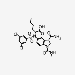 CCCCC(C(=O)O)N(c1ccc2c(c1)C(C(N)=O)CN2C(=O)NC)S(=O)(=O)c1cc(Cl)cc(Cl)c1